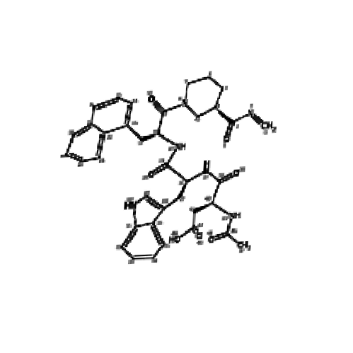 C=NC(=O)[C@@H]1CCCN(C(=O)[C@H](Cc2cccc3ccccc23)NC(=O)[C@H](Cc2c[nH]c3ccccc23)NC(=O)[C@H](CC(=O)O)NC(C)=O)C1